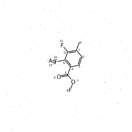 Cc1ccc(C(=O)OF)c(F)c1F.[Ag]